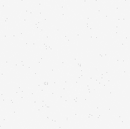 CC(C)(C)OC(=O)N1CCC(Nc2c([N+](=O)[O-])c(Cl)nc3c(F)c(Cl)ncc23)CC1